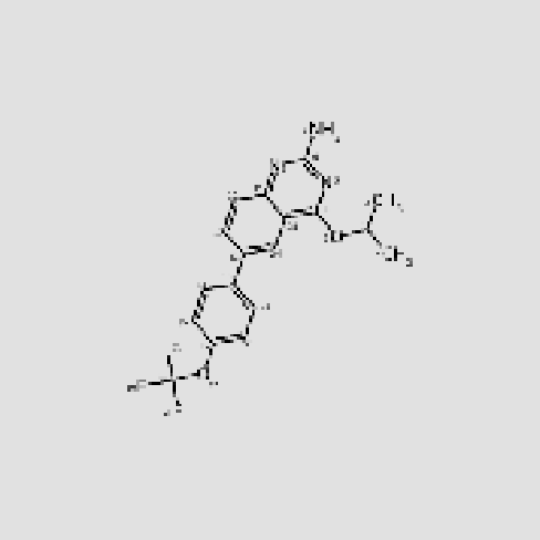 CC(C)Oc1nc(N)nc2ccc(-c3ccc(OC(F)(F)F)cc3)cc12